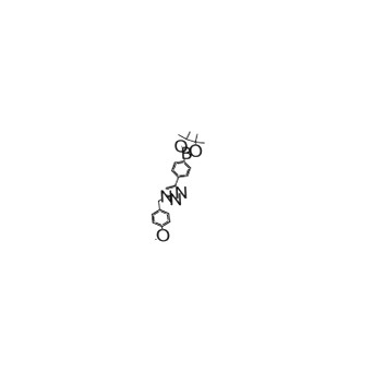 COc1ccc(Cn2cc(-c3ccc(B4OC(C)(C)C(C)(C)O4)cc3)nn2)cc1